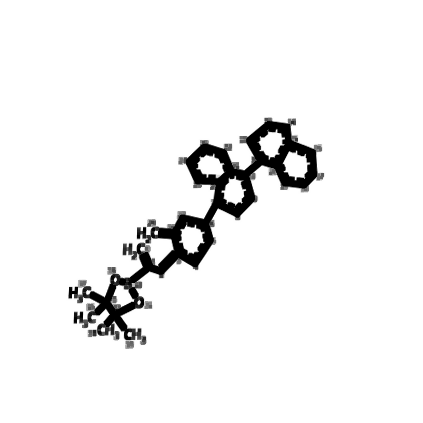 C=C(/C=c1/ccc(-c2ccc(-c3cccc4ccccc34)c3ccccc23)cc1=C)B1OC(C)(C)C(C)(C)O1